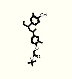 CCC(CC(C)c1ccc(OCC(=O)OC(C)(C)C)c(C)c1)c1ccc(O)c(C)c1